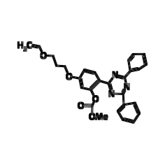 C=COCCCOc1ccc(-c2nc(-c3ccccc3)nc(-c3ccccc3)n2)c(OC(=O)OC)c1